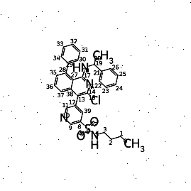 CCCCNS(=O)(=O)c1cncc(-c2c(Cl)nc(NC(C)c3ccccc3)c3c(-c4ccccc4)cccc23)c1